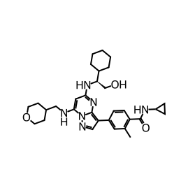 Cc1cc(-c2cnn3c(NCC4CCOCC4)cc(N[C@H](CO)C4CCCCC4)nc23)ccc1C(=O)NC1CC1